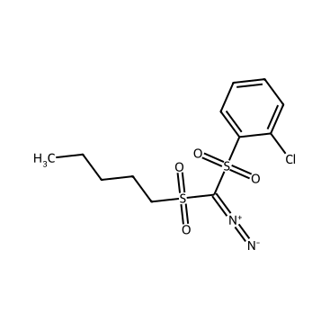 CCCCCS(=O)(=O)C(=[N+]=[N-])S(=O)(=O)c1ccccc1Cl